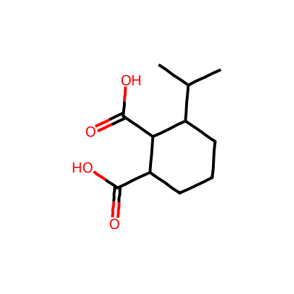 CC(C)C1CCCC(C(=O)O)C1C(=O)O